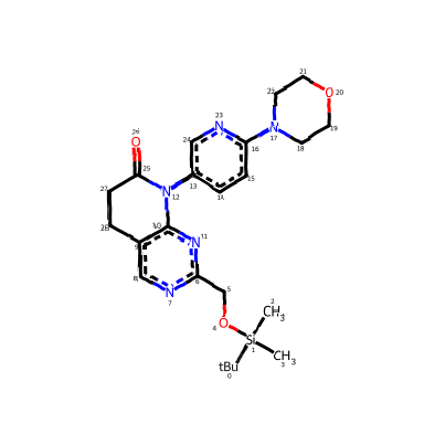 CC(C)(C)[Si](C)(C)OCc1ncc2c(n1)N(c1ccc(N3CCOCC3)nc1)C(=O)CC2